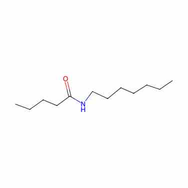 CCCCCCCNC(=O)CCCC